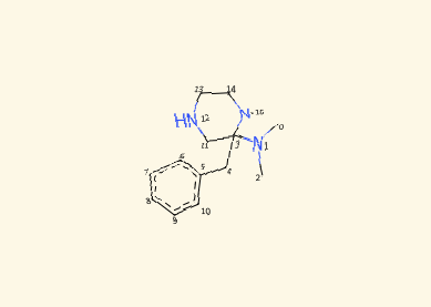 CN(C)C1(Cc2ccccc2)CNCC[N]1